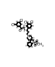 CN(C[C@@H](CCN1CCC2(CC1)CN(S(C)(=O)=O)c1ccccc12)c1ccc(Cl)c(Cl)c1)C(=O)c1cc(Cl)cc(Cl)c1